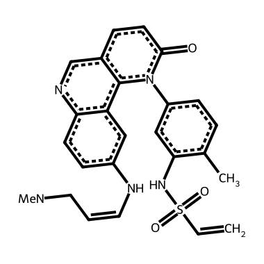 C=CS(=O)(=O)Nc1cc(-n2c(=O)ccc3cnc4ccc(N/C=C\CNC)cc4c32)ccc1C